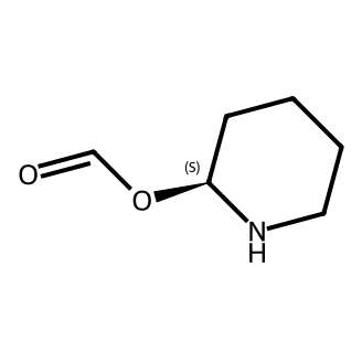 O=CO[C@H]1CCCCN1